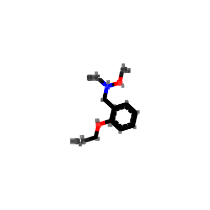 CC(C)(C)ON(C=O)Cc1ccccc1OCC(=O)O